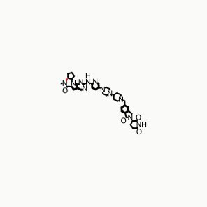 CN(C)C(=O)c1cc2cnc(Nc3ccc(N4CCN(C5CCN(Cc6ccc7c(c6)CN(C6CCC(=O)NC6=O)C7=O)CC5)CC4)cn3)nc2n1C1CCCC1